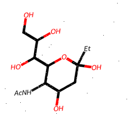 CCC1(O)CC(O)C(NC(C)=O)C(C(O)C(O)CO)O1